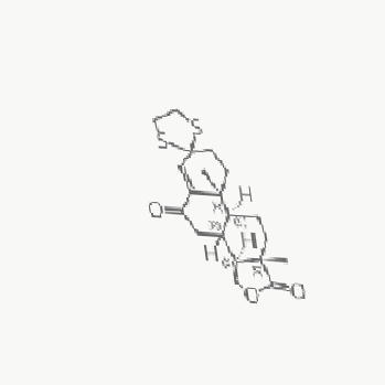 C[C@]12CCC3(C=C1C(=O)C[C@@H]1[C@@H]2CC[C@]2(C)C(=O)OC[C@@H]12)SCCS3